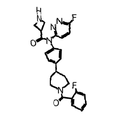 O=C(c1ccccc1F)N1CCC(c2ccc(N(C(=O)C3CNC3)c3ccc(F)nn3)cc2)CC1